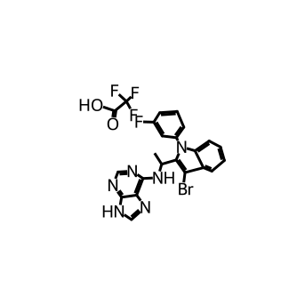 CC(Nc1ncnc2[nH]cnc12)c1c(Br)c2ccccc2n1-c1cccc(F)c1.O=C(O)C(F)(F)F